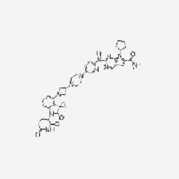 CN(C)C(=O)c1cc2cnc(Nc3ccc(N4CCN(C5CN(c6cccc7c6C6(CC6)C(=O)N7[C@@H]6CCC(=O)NC6=O)C5)CC4)cn3)nc2n1C1CCCC1